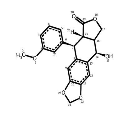 COc1cccc([C@@H]2c3cc4c(cc3[C@H](O)C3COC(=O)[C@H]32)OCO4)c1